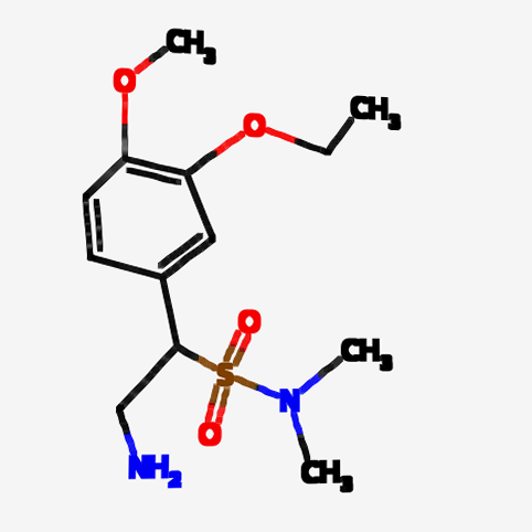 CCOc1cc(C(CN)S(=O)(=O)N(C)C)ccc1OC